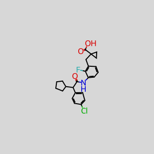 O=C(Nc1cccc(CC2(C(=O)O)CC2)c1F)C(c1ccc(Cl)cc1)C1CCCC1